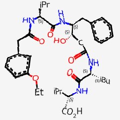 CCOc1cccc(CC(=O)N[C@H](C(=O)N[C@@H](Cc2ccccc2)[C@@H](O)CC(=O)N[C@H](C(=O)N[C@H](C(=O)O)C(C)C)[C@@H](C)CC)C(C)C)c1